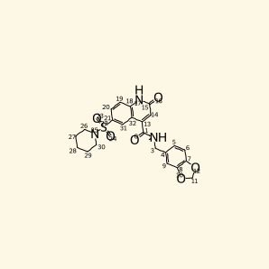 O=C(NCc1ccc2c(c1)OCO2)c1cc(=O)[nH]c2ccc(S(=O)(=O)N3CCCCC3)cc12